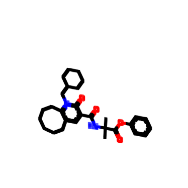 CC(C)(NC(=O)c1cc2c(n(CC3CCCCC3)c1=O)CCCCCC2)C(=O)Oc1ccccc1